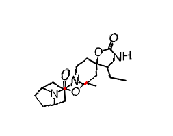 CCOC(=O)N1C2CCC1CC(N1CCC3(CC1)OC(=O)NC3CC)C2